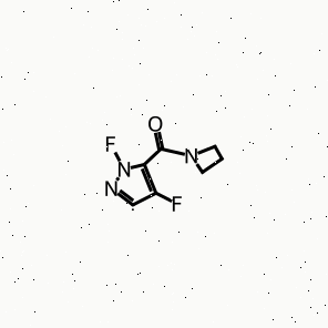 O=C(c1c(F)[c]nn1F)N1CCC1